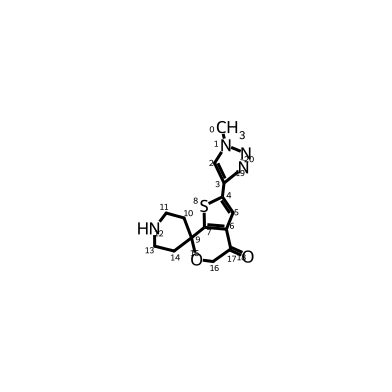 Cn1cc(-c2cc3c(s2)C2(CCNCC2)OCC3=O)nn1